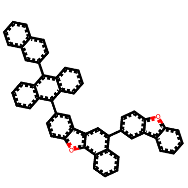 c1ccc2cc(-c3c4ccccc4c(-c4ccc5oc6c7ccccc7c(-c7ccc8oc9ccccc9c8c7)cc6c5c4)c4ccccc34)ccc2c1